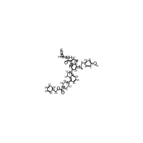 COc1ccc(CN(C)c2cc(N3CCc4c(N5CCN(C(=O)OCc6ccccc6)CC5)cccc43)nn3c(C(=O)N[C@@H]4C[C@@H]4F)cnc23)cc1